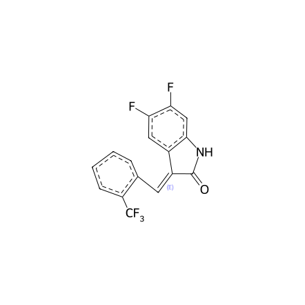 O=C1Nc2cc(F)c(F)cc2/C1=C\c1ccccc1C(F)(F)F